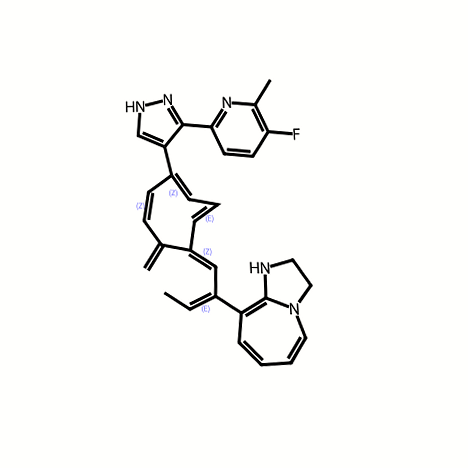 C=C1\C=C/C(c2c[nH]nc2-c2ccc(F)c(C)n2)=C/C=C/C1=C/C(=C\C)C1=C2NCCN2C=CC=C1